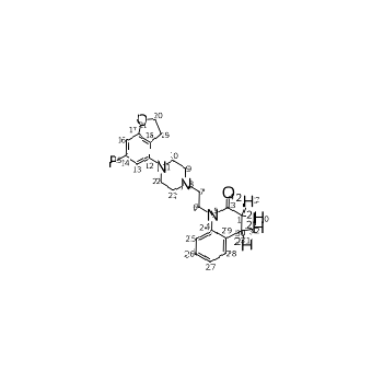 [2H]C1([2H])C(=O)N(CCN2CCN(c3cc(F)cc4c3CCO4)CC2)c2ccccc2C1([2H])[2H]